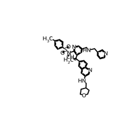 C=C(c1ccc2ncc(NCC3CCOCC3)cc2c1)c1cc(CNCc2cccnc2)cnc1N(C)S(=O)(=O)c1ccc(C)cc1